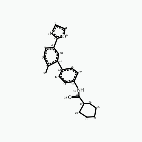 Cc1ccc(-c2ncco2)cc1-c1ccc(NC(=O)C2CCCCC2)cc1